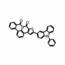 O=c1c2ccccc2c2cccc3c4cc(-c5ccc6c(c5)c5ccccc5n6-c5ccccc5)sc4c(=O)n1c23